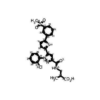 CC(CNC(=O)c1cc(-c2ccc(-c3cccc(S(C)(=O)=O)c3)s2)n(-c2ccccc2Cl)n1)C(=O)O